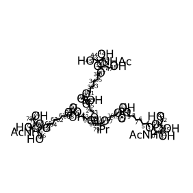 CC(=O)NC1C(OCCCCCCOP(=O)(O)OCCCOCC(COCCCOP(=O)(O)OCCCCCCOC(OC(CO)[C@@H](C)O)[C@H](CO)NC(C)=O)(COCCCOP(=O)(O)OCCCCCCOC(OC(CO)[C@@H](C)O)[C@H](CO)NC(C)=O)C(C)C)OC(CO)C(O)C1O